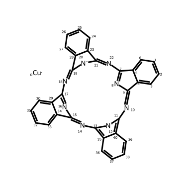 [Cu].c1ccc2c(c1)-c1nc-2nc2[n-]c(nc3nc(nc4[n-]c(n1)c1ccccc41)-c1ccccc1-3)c1ccccc21